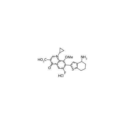 COc1c(-c2cc3c(s2)CCCC3N)c(F)cc2c(=O)c(C(=O)O)cn(C3CC3)c12.Cl